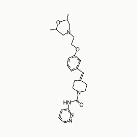 CC1CN(CCOc2cccc(C=C3CCN(C(=O)Nc4cccnn4)CC3)c2)CC(C)O1